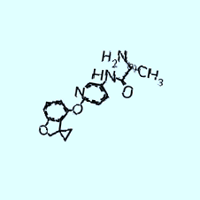 C[C@@H](N)C(=O)Nc1ccc(Oc2cccc3c2C2(CC2)CO3)nc1